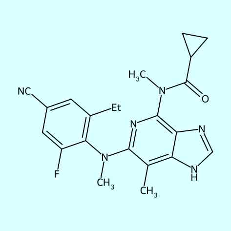 CCc1cc(C#N)cc(F)c1N(C)c1nc(N(C)C(=O)C2CC2)c2nc[nH]c2c1C